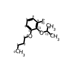 CCCCOc1cccc(F)c1OC(C)C